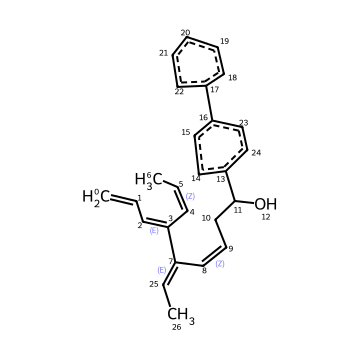 C=C/C=C(\C=C/C)C(/C=C\CC(O)c1ccc(-c2ccccc2)cc1)=C/C